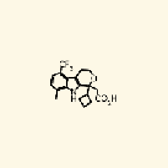 Cc1ccc(C(F)(F)F)c2c3c([nH]c12)C(CC(=O)O)(C1CCC1)OCC3